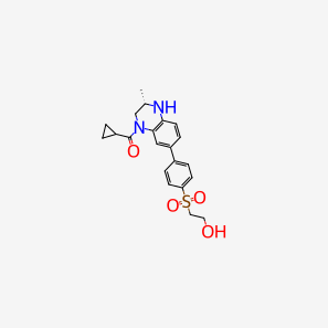 C[C@H]1CN(C(=O)C2CC2)c2cc(-c3ccc(S(=O)(=O)CCO)cc3)ccc2N1